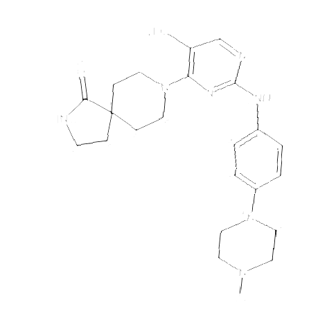 CC(=O)N1CCN(c2ccc(Nc3ncc(C)c(N4CCC5(CCNC5=O)CC4)n3)cc2)CC1